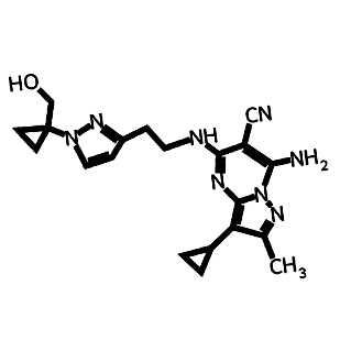 Cc1nn2c(N)c(C#N)c(NCCc3ccn(C4(CO)CC4)n3)nc2c1C1CC1